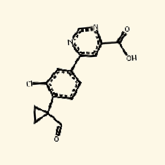 O=CC1(c2ccc(-c3cc(C(=O)O)ncn3)cc2Cl)CC1